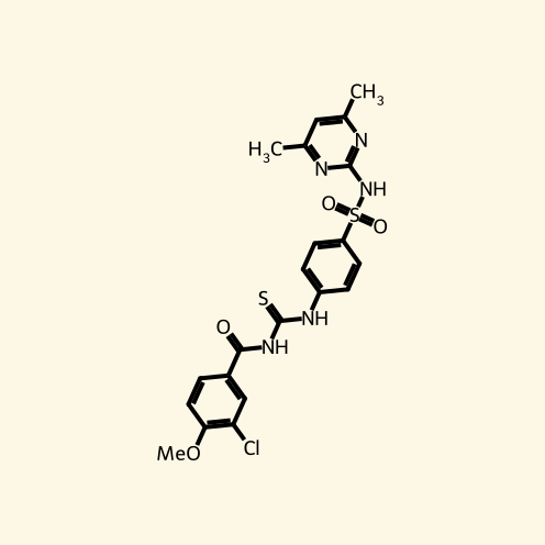 COc1ccc(C(=O)NC(=S)Nc2ccc(S(=O)(=O)Nc3nc(C)cc(C)n3)cc2)cc1Cl